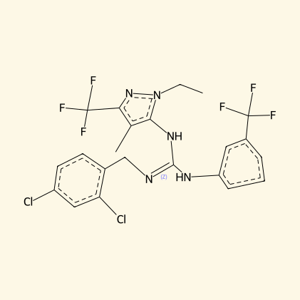 CCn1nc(C(F)(F)F)c(C)c1N/C(=N\Cc1ccc(Cl)cc1Cl)Nc1cccc(C(F)(F)F)c1